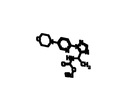 CC(NC(=O)OC(C)(C)C)c1ncnn1-c1ccc(N2CCOCC2)cn1